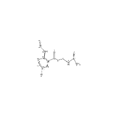 CC(=O)NCCC(=O)c1cc(Cl)ccc1NC=O